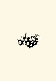 CC(C)(C)[S@@+]([O-])N[C@]1(CC(=O)[C@@H]2C(=O)NC(=O)N(C3CCOCC3)C2=O)CCc2ccc(F)cc21